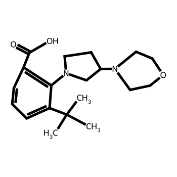 CC(C)(C)c1cccc(C(=O)O)c1N1CCC(N2CCOCC2)C1